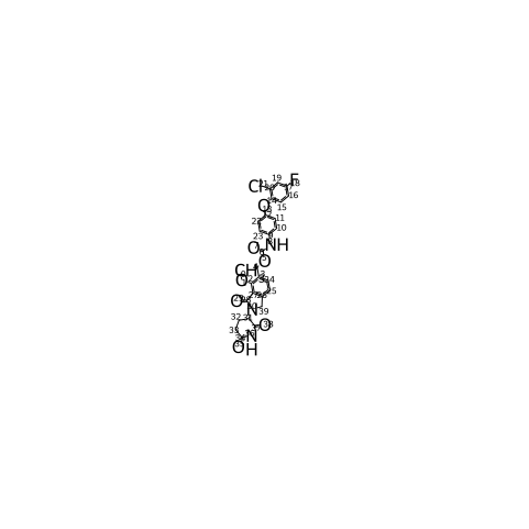 COc1c(COC(=O)Nc2ccc(Oc3ccc(F)cc3Cl)cc2)ccc2c1C(=O)N(C1CCC(=O)NC1=O)C2